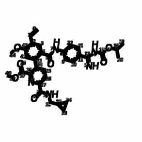 C=Cc1cc(C(=O)Nc2ccc(C(=N)NC(=O)OC(C)C)cc2)c(-c2ccc(C(=O)NCC3CC3)nc2C(=O)OC)cc1OC